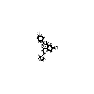 Clc1ccc(COC(CCn2ccnc2)c2ccc(Cl)cc2Cl)cc1